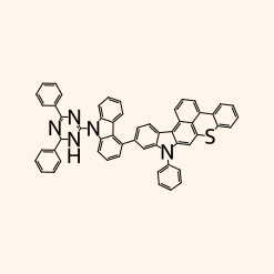 c1ccc(C2=NC(c3ccccc3)NC(n3c4ccccc4c4c(-c5ccc6c7c8cccc9c8c(cc7n(-c7ccccc7)c6c5)Sc5ccccc5-9)cccc43)=N2)cc1